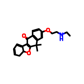 CCNCCOc1ccc2c(c1)C(C)(C)C1=C(C2=O)C2=CC=CCC2O1